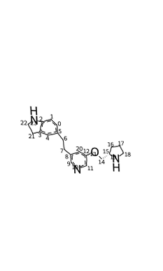 c1cc2c(cc1CCc1cncc(OC[C@@H]3CCCN3)c1)CCN2